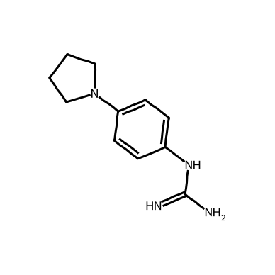 N=C(N)Nc1ccc(N2CCCC2)cc1